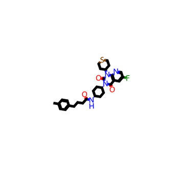 Cc1ccc(CCCC(=O)N[C@H]2CC[C@@H](n3c(=O)c4cc(F)cnc4n(C4CCSCC4)c3=O)CC2)cc1